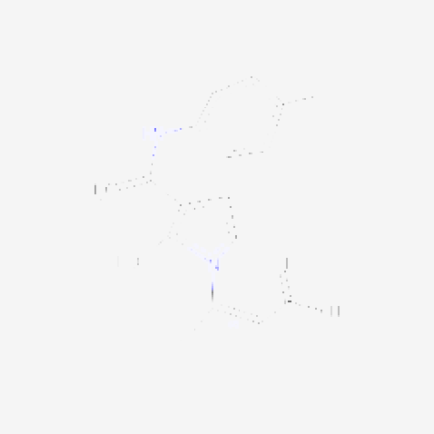 C=C(C)/C=C(/C)n1ccc(C(=C)Nc2ccc(C)cc2)c1C